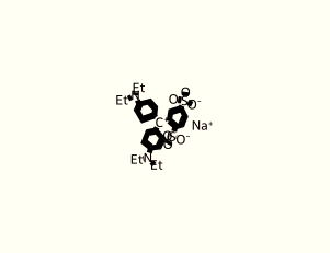 CCN(CC)c1ccc([C+](c2ccc(N(CC)CC)cc2)c2cc(S(=O)(=O)[O-])ccc2S(=O)(=O)[O-])cc1.[Na+]